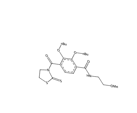 CCCCOc1c(C(=O)NCCOC)ccc(C(=O)N2CCSC2=S)c1OCCCC